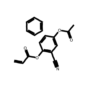 C=CC(=O)Oc1ccc(OC(C)=O)cc1C#N.[c]1ccccc1